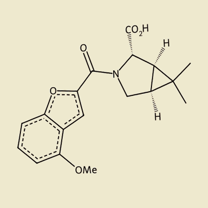 COc1cccc2oc(C(=O)N3C[C@H]4[C@@H]([C@H]3C(=O)O)C4(C)C)cc12